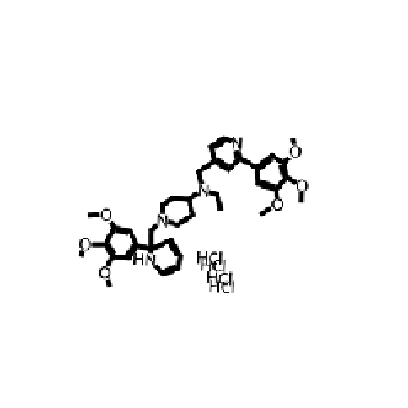 CCN(Cc1ccnc(-c2cc(OC)c(OC)c(OC)c2)c1)C1CCN(CC2(c3cc(OC)c(OC)c(OC)c3)C=CC=CN2)CC1.Cl.Cl.Cl.Cl